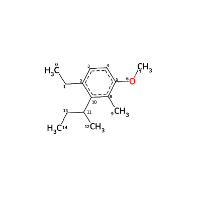 CCc1ccc(OC)c(C)c1C(C)CC